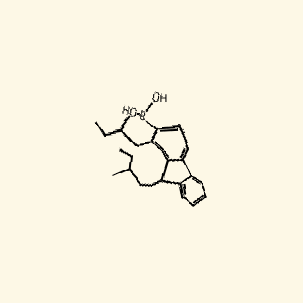 CCC(C)Cc1c(B(O)O)ccc2c1C(CC(C)CC)c1ccccc1-2